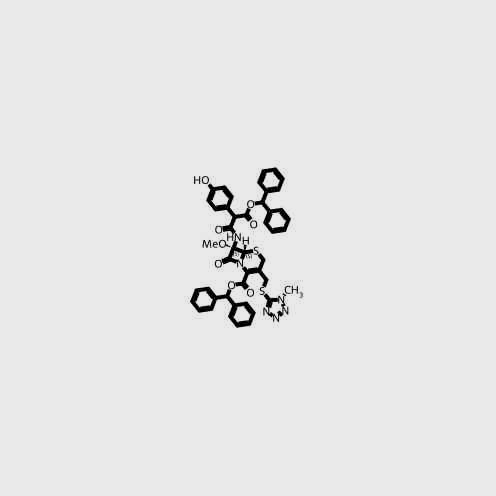 CO[C@@]1(NC(=O)C(C(=O)OC(c2ccccc2)c2ccccc2)c2ccc(O)cc2)C(=O)N2C(C(=O)OC(c3ccccc3)c3ccccc3)=C(CSc3nnnn3C)CS[C@H]21